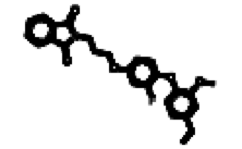 CCc1ccc(Oc2ccc(OCCCN3C(=O)c4ccccc4C3=O)cc2F)c(OC)c1